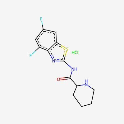 Cl.O=C(Nc1nc2c(F)cc(F)cc2s1)C1CCCCN1